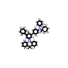 CC1(C)c2ccccc2N(c2cc(-c3ccc(N(c4ccccc4)C4(C)C=CC=CC4)cc3)c3sc4ccccc4c3c2)c2ccccc21